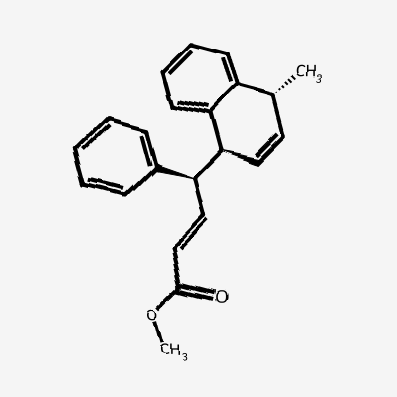 COC(=O)/C=C/[C@@H](c1ccccc1)[C@@H]1C=C[C@@H](C)c2ccccc21